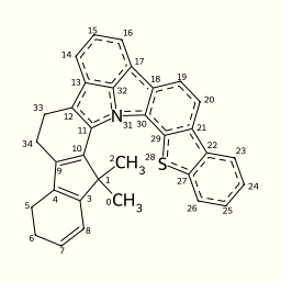 CC1(C)C2=C(CCC=C2)C2=C1c1c(c3cccc4c5ccc6c7ccccc7sc6c5n1c34)CC2